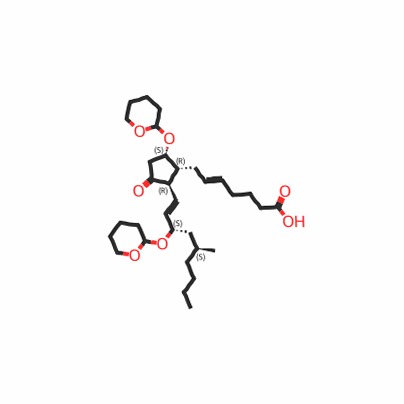 CCCC[C@H](C)C[C@@H](C=C[C@H]1C(=O)C[C@H](OC2CCCCO2)[C@@H]1CC=CCCCC(=O)O)OC1CCCCO1